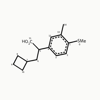 CSc1ccc(C(CC2CCC2)C(=O)O)cc1C